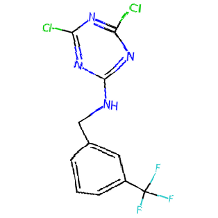 FC(F)(F)c1cccc(CNc2nc(Cl)nc(Cl)n2)c1